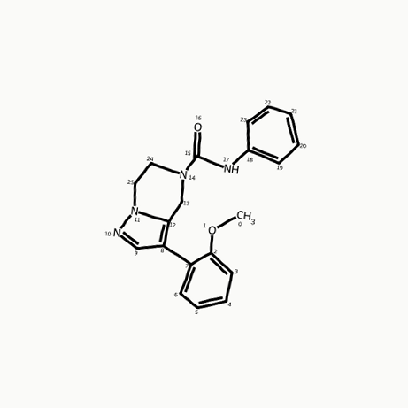 COc1ccccc1-c1cnn2c1CN(C(=O)Nc1ccccc1)CC2